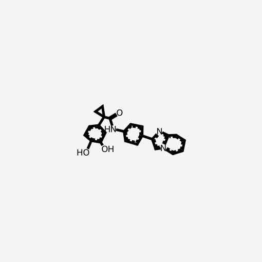 O=C(Nc1ccc(-c2cn3ccccc3n2)cc1)C1(c2ccc(O)c(O)c2)CC1